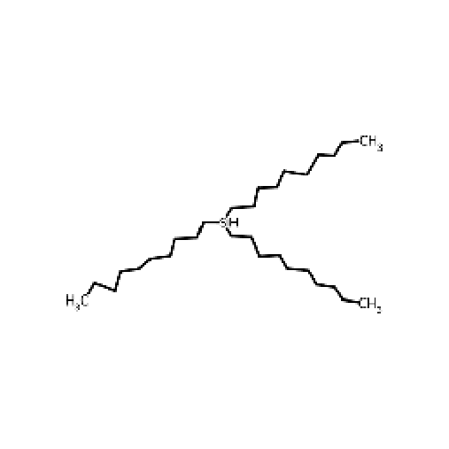 CCCCCCCCCC[SiH](CCCCCCCCCC)CCCCCCCCCC